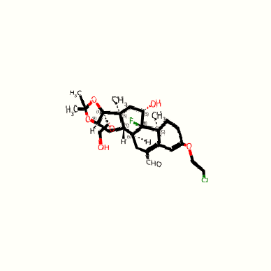 CC1(C)O[C@@H]2C[C@H]3[C@@H]4CC(C=O)=C5C=C(OCCCl)CC[C@]5(C)[C@@]4(F)[C@@H](O)C[C@]3(C)[C@]2(C(=O)CO)O1